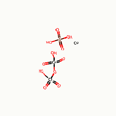 O=S(=O)(O)O.[Cu].[O]=[Cr](=[O])([OH])[O][Cr](=[O])(=[O])[OH]